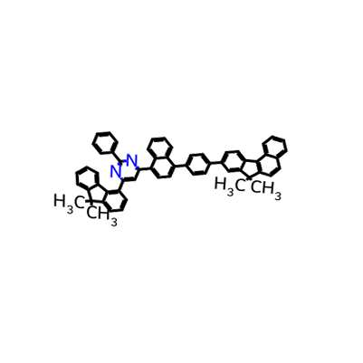 CC1(C)c2ccccc2-c2c(-c3cc(-c4ccc(-c5ccc(-c6ccc7c(c6)C(C)(C)c6ccc8ccccc8c6-7)cc5)c5ccccc45)nc(-c4ccccc4)n3)cccc21